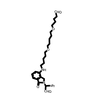 CCCC(C=O)N1Cc2c(NCCCCCOCCCCCOCCCCC=O)cccc2C1=O